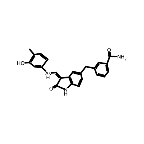 Cc1ccc([AsH]C=C2C(=O)Nc3ccc(Cc4cccc(C(N)=O)c4)cc32)cc1O